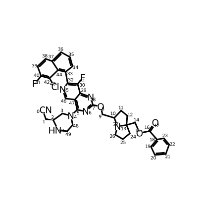 N#CC[C@H]1CN(c2nc(OCC3CCC4(COC(=O)c5ccccc5)CCCN34)nc3c(F)c(-c4cccc5ccc(F)c(Cl)c45)ncc23)CCN1